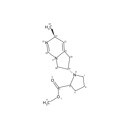 COC(=O)C1CCCN1[C@H]1CC2=C[C@H](C)N=CN2C1